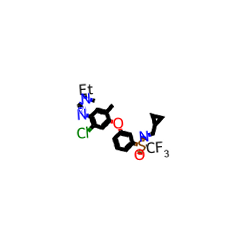 CCN(C)/C=N\c1cc(C)c(Oc2cccc(S(=O)(=NCC3CC3)C(F)(F)F)c2)cc1Cl